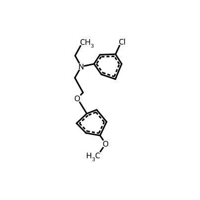 CCN(CCOc1ccc(OC)cc1)c1cccc(Cl)c1